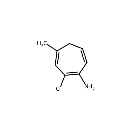 CC1=CC(Cl)=C(N)C=CC1